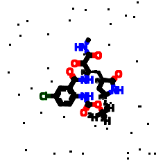 [2H]C([2H])([2H])OC(=O)Nc1ccc(Cl)cc1C(=O)N[C@@H](C[C@@H]1C[C@@H](C)NC1=O)C(=O)C(=O)NC